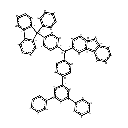 c1ccc(-c2cc(-c3ccccc3)cc(-c3ccc(N(c4ccc(C5(c6ccccc6)c6ccccc6-c6ccccc65)cc4)c4ccc5oc6ccccc6c5c4)cc3)c2)cc1